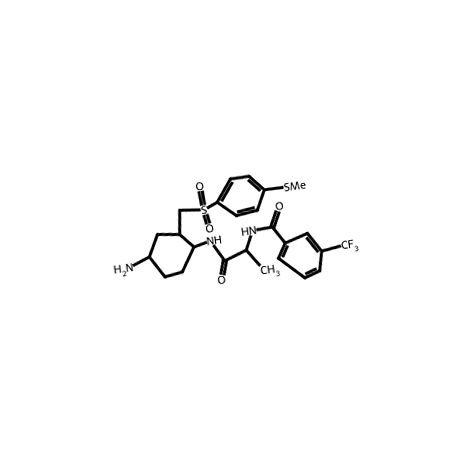 CSc1ccc(S(=O)(=O)CC2CC(N)CCC2NC(=O)C(C)NC(=O)c2cccc(C(F)(F)F)c2)cc1